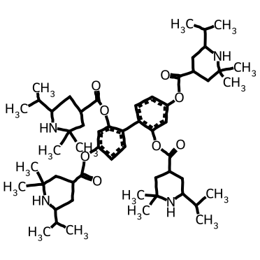 CC(C)C1CC(C(=O)Oc2ccc(-c3ccc(OC(=O)C4CC(C(C)C)NC(C)(C)C4)cc3OC(=O)C3CC(C(C)C)NC(C)(C)C3)c(OC(=O)C3CC(C(C)C)NC(C)(C)C3)c2)CC(C)(C)N1